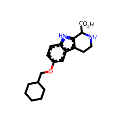 O=C(O)C1NCCc2c1[nH]c1ccc(OCC3CCCCC3)cc21